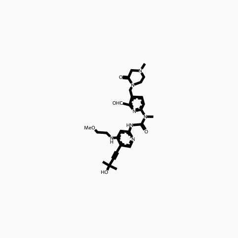 COCCNc1cc(NC(=O)N(C)c2ccc(CN3CCN(C)CC3=O)c(C=O)n2)ncc1C#CC(C)(C)O